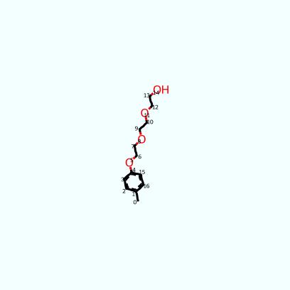 Cc1ccc(OCCOCCOCCO)cc1